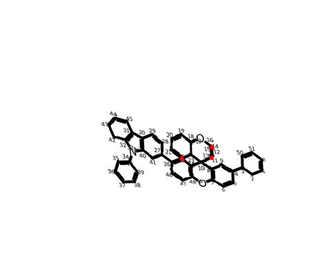 C1=CCC(c2ccc3c(c2)C2(C4=CCCCC4OC4C=CC=CC42)c2cc(C4C=Cc5c6c(n(-c7ccccc7)c5C4)CCC=C6)ccc2O3)C=C1